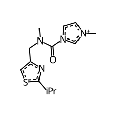 CC(C)c1nc(CN(C)C(=O)n2cc[n+](C)c2)cs1